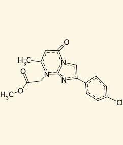 COC(=O)Cn1c(C)cc(=O)n2cc(-c3ccc(Cl)cc3)nc12